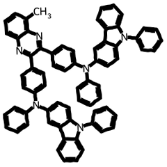 Cc1cccc2nc(-c3ccc(N(c4ccccc4)c4ccc5c(c4)c4ccccc4n5-c4ccccc4)cc3)c(-c3ccc(N(c4ccccc4)c4ccc5c(c4)c4ccccc4n5-c4ccccc4)cc3)nc12